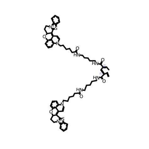 C=C/C(=C\C(=C/C)C(=O)NCCCCCNC(=O)CCCCCN1C=CC2=C3c4sc5ccccc5[n+]4CCC3Oc3cccc1c32)C(=O)NCCCCCNC(=O)CCCCCN1C=CC2=C3c4sc5ccccc5[n+]4CCC3Oc3cccc1c32